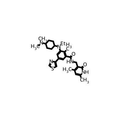 CCN(c1cc(-c2cscn2)cc(C(=O)NCc2c(C)cc(C)[nH]c2=O)c1C)C1CCC(N(C)C)CC1